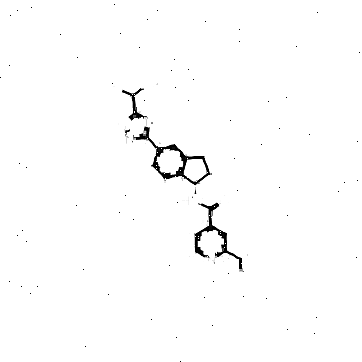 O=C(N[C@@H]1CCc2cc(-c3noc(C(F)F)n3)ccc21)c1ccnc(CO)c1